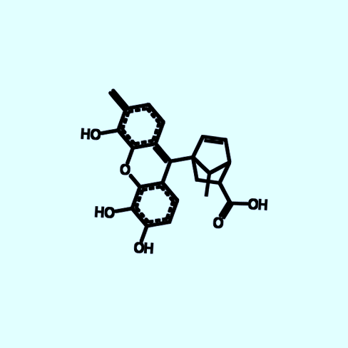 C=c1ccc2c(c1O)Oc1c(ccc(O)c1O)C=2C12C=CC(C(C(=O)O)C1)C2C